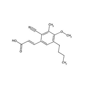 CCCCc1cc(C=CC(=O)O)c(C#N)c(C)c1OC